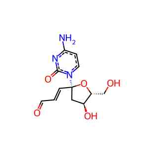 Nc1ccn([C@@]2(/C=C/C=O)C[C@H](O)[C@@H](CO)O2)c(=O)n1